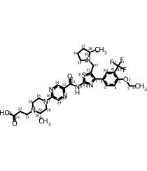 CCOc1ccc(-c2nc(NC(=O)c3cnc(N4CCN(CCC(=O)O)[C@@H](C)C4)cn3)sc2CN2CCC[C@H]2C)cc1C(F)(F)F